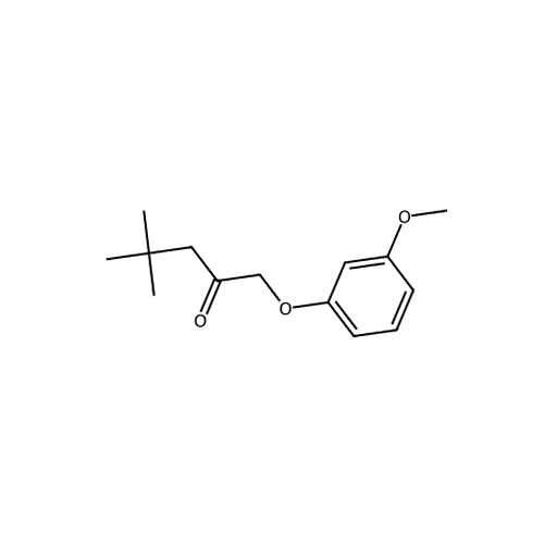 COc1cccc(OCC(=O)CC(C)(C)C)c1